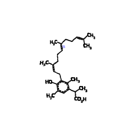 CC(C)=CCC/C(C)=C/CCC(C)=CCc1c(C)c(C(C)C(=O)O)cc(C)c1O